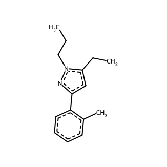 CCCn1nc(-c2ccccc2C)cc1CC